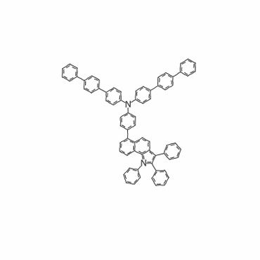 c1ccc(-c2ccc(-c3ccc(N(c4ccc(-c5ccc(-c6ccccc6)cc5)cc4)c4ccc(-c5cccc6c5ccc5c(-c7ccccc7)c(-c7ccccc7)n(-c7ccccc7)c56)cc4)cc3)cc2)cc1